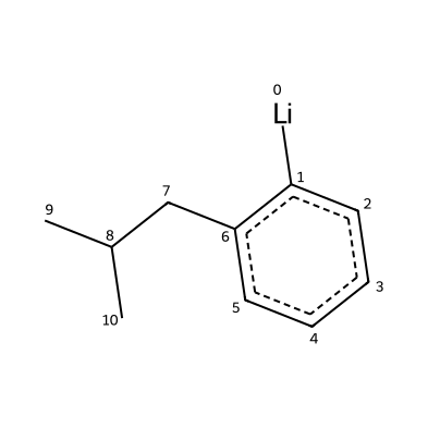 [Li][c]1ccccc1CC(C)C